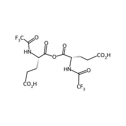 O=C(O)CC[C@H](NC(=O)C(F)(F)F)C(=O)OC(=O)[C@H](CCC(=O)O)NC(=O)C(F)(F)F